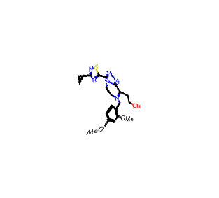 COc1ccc(CN2CCn3c(-c4nc(C5CC5)ns4)nnc3C2CCO)c(OC)c1